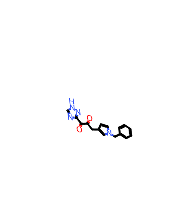 O=C(Cc1ccn(Cc2ccccc2)c1)C(=O)c1nc[nH]n1